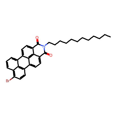 CCCCCCCCCCCCN1C(=O)c2ccc3c4cccc5c(Br)ccc(c6ccc(c2c36)C1=O)c54